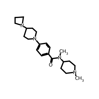 CN1CCC(N(C)C(=O)c2ccc(N3CCC(N4CCC4)CC3)cc2)CC1